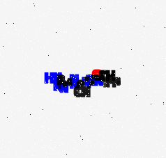 CC(C)[C@H](C)NC(=O)N1CCN([C@H]2C[C@@](CC#N)(n3cc(-c4ncnc5[nH]ccc45)cn3)C2)CC1